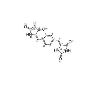 O=C1NC(=O)C(=Cc2ccc(C=C3NC(=O)NC3=O)cc2)N1